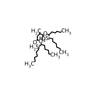 C=C(CC(=O)OC(CCCCC)[SiH2]CCCCCC)C(=O)OC(CCCCC)[SiH2]CCCCCC